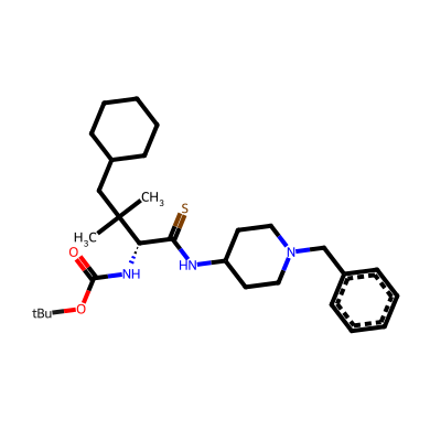 CC(C)(C)OC(=O)N[C@@H](C(=S)NC1CCN(Cc2ccccc2)CC1)C(C)(C)CC1CCCCC1